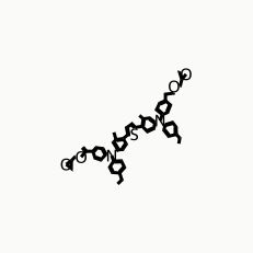 C=C(OCC1CO1)c1ccc(N(c2ccc(CC)cc2)c2ccc(-c3ccc(-c4ccc(N(c5ccc(CC)cc5)c5ccc(CCOCC6CO6)cc5)cc4C)s3)c(C)c2)cc1